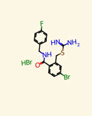 Br.N=C(N)SCc1cc(Br)ccc1C(=O)NCc1ccc(F)cc1